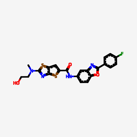 CN(CCO)c1nc2sc(C(=O)Nc3ccc4oc(-c5ccc(F)cc5)nc4c3)cc2s1